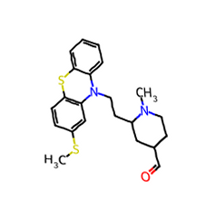 CSc1ccc2c(c1)N(CCC1CC(C=O)CCN1C)c1ccccc1S2